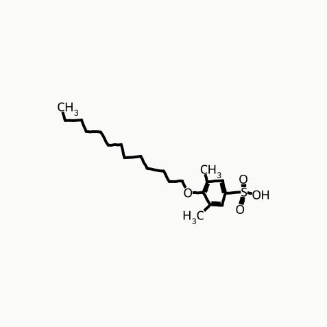 CCCCCCCCCCCCCOc1c(C)cc(S(=O)(=O)O)cc1C